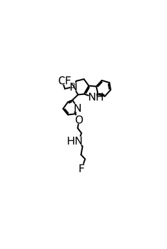 FCCCNCCOc1cccc(C2c3[nH]c4ccccc4c3CCN2CC(F)(F)F)n1